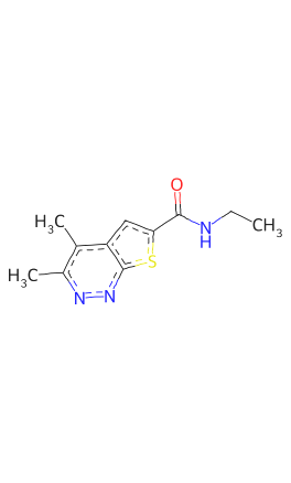 CCNC(=O)c1cc2c(C)c(C)nnc2s1